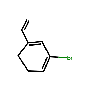 C=CC1=CC(Br)=CCC1